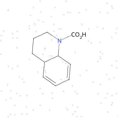 O=C(O)N1CCCC2C=CC=CC21